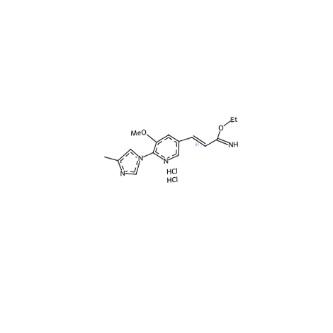 CCOC(=N)/C=C/c1cnc(-n2cnc(C)c2)c(OC)c1.Cl.Cl